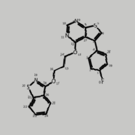 Fc1ccc(-c2csc3ncnc(OCCCOc4nsc5ccccc45)c23)cc1